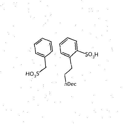 CCCCCCCCCCCCc1ccccc1S(=O)(=O)O.O=S(=O)(O)Cc1ccccc1